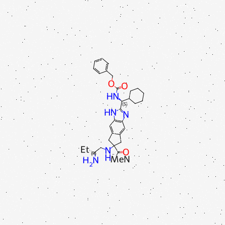 CC[C@@H](N)CNC1(C(=O)NC)Cc2cc3nc([C@@H](NC(=O)OCc4ccccc4)C4CCCCC4)[nH]c3cc2C1